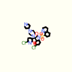 COc1nc(Cl)ccc1C1(N2CCN(c3ccncc3)CC2)C(=O)N(S(=O)(=O)c2cccc3cccnc23)c2ccc(Cl)cc21